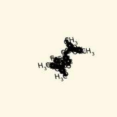 COc1ccc2c(c1)c(OCC(=O)c1ccc3c(c1)CCC(=O)N3C(Oc1nn(S(=O)(=O)c3ccc(C)cc3)c3ccc(OC)cc13)C(=O)Nc1ccc(F)cc1F)nn2S(=O)(=O)c1ccc(C)cc1